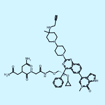 C#CCNC1(C)CCN(C2CCN(c3nc([C@@](COCNC(=O)CNC(=O)C(CC(N)=O)CC(N)=O)(OC4CC4)c4ccccc4)c4cc(-c5cn(C)c(=O)c6[nH]ccc56)ccc4n3)CC2)CC1